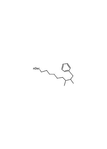 CCCCCCCCCCCCCCCCC(C)[C](C)Cc1ccccc1